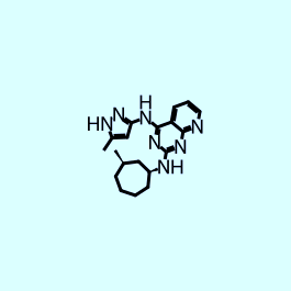 Cc1cc(Nc2nc(N[C@H]3CCCC[C@@H](C)C3)nc3ncccc23)n[nH]1